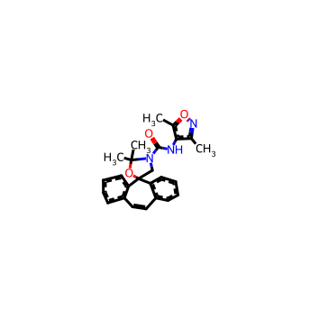 Cc1noc(C)c1NC(=O)N1CC2(OC1(C)C)c1ccccc1C=Cc1ccccc12